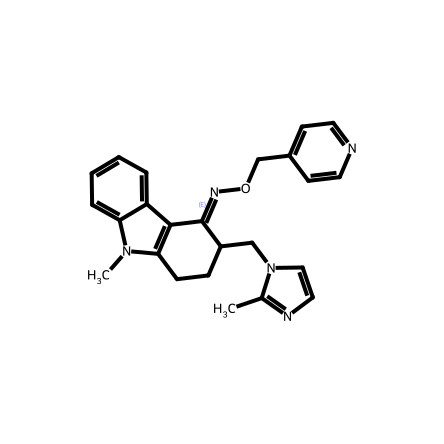 Cc1nccn1CC1CCc2c(c3ccccc3n2C)/C1=N/OCc1ccncc1